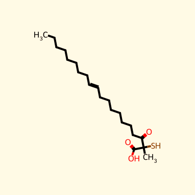 CCCCCCCCC=CCCCCCCCC(=O)C(C)(S)C(=O)O